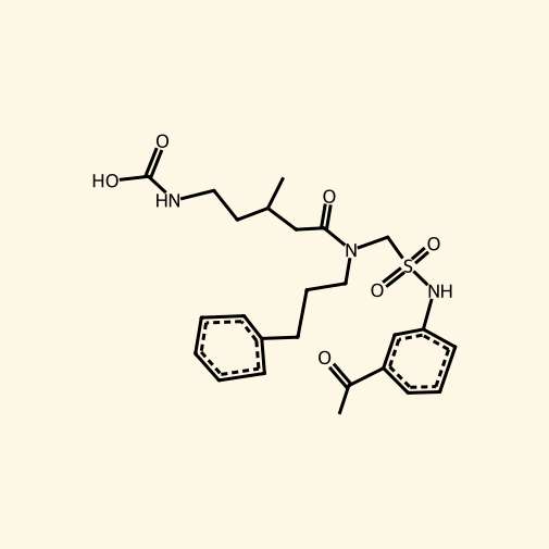 CC(=O)c1cccc(NS(=O)(=O)CN(CCCc2ccccc2)C(=O)CC(C)CCNC(=O)O)c1